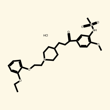 CCOc1ccccc1OCCN1CCC(CCC(=O)c2ccc(OC)c(NS(C)(=O)=O)c2)CC1.Cl